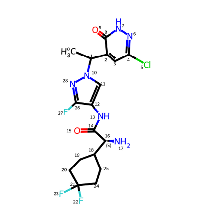 CC(c1cc(Cl)n[nH]c1=O)n1cc(NC(=O)[C@@H](N)C2CCC(F)(F)CC2)c(F)n1